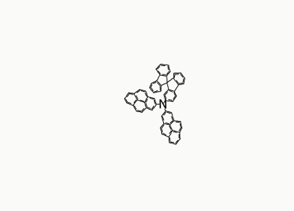 c1ccc2c(c1)-c1ccccc1C21c2ccccc2-c2ccc(N(c3cc4ccc5cccc6ccc(c3)c4c56)c3cc4ccc5cccc6ccc(c3)c4c56)cc21